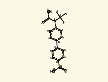 CC(C)(C)N(C(=O)O)c1ccc(-c2ccc(C(=O)O)cc2)cn1